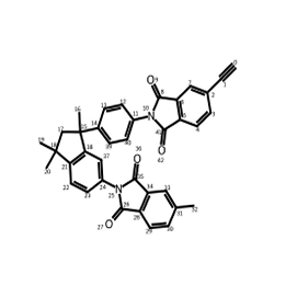 C#Cc1ccc2c(c1)C(=O)N(c1ccc(C3(C)CC(C)(C)c4ccc(N5C(=O)c6ccc(C)cc6C5=O)cc43)cc1)C2=O